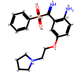 N=C(c1cc(OCCN2CCCC2)ccc1N)S(=O)(=O)c1ccccc1